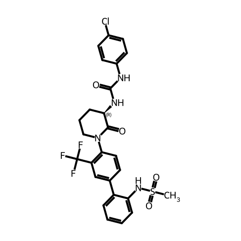 CS(=O)(=O)Nc1ccccc1-c1ccc(N2CCC[C@@H](NC(=O)Nc3ccc(Cl)cc3)C2=O)c(C(F)(F)F)c1